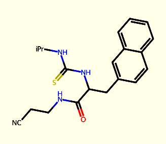 CC(C)NC(=S)NC(Cc1ccc2ccccc2c1)C(=O)NCCC#N